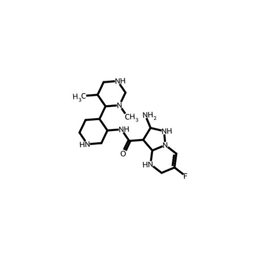 CC1CNCN(C)C1C1CCNCC1NC(=O)C1C(N)NN2C=C(F)CNC12